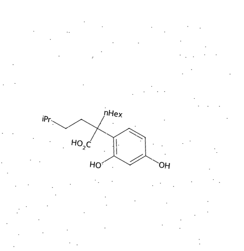 CCCCCCC(CCC(C)C)(C(=O)O)c1ccc(O)cc1O